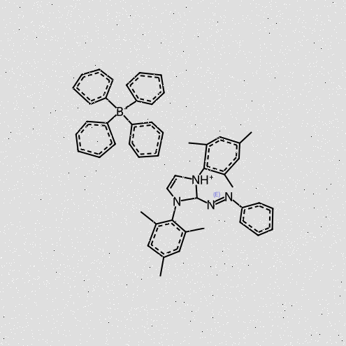 Cc1cc(C)c(N2C=C[NH+](c3c(C)cc(C)cc3C)C2/N=N/c2ccccc2)c(C)c1.c1ccc([B-](c2ccccc2)(c2ccccc2)c2ccccc2)cc1